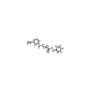 CC(C)c1cccc(C(C)/C=C/OC(=O)CCc2ccccc2)c1